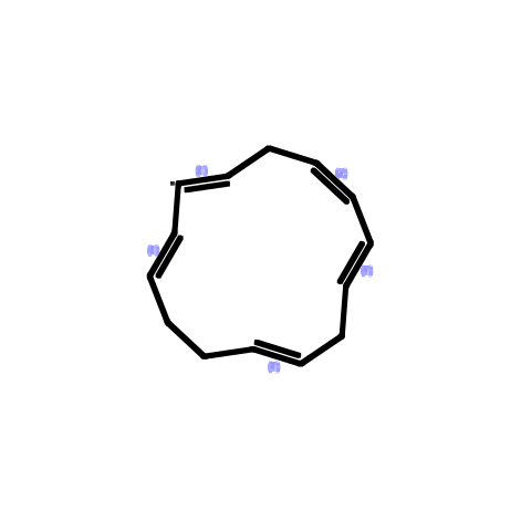 [C]1=C/C/C=C\C=C\C/C=C/CC/C=C/1